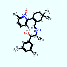 COc1ccc(C(C)C)[n+]([O-])c1C1=C(CN[C@@H](C)C(O)c2cc(C(F)(F)F)cc(C(F)(F)F)c2)CC(C)(C)CC1